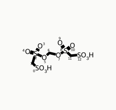 O=S(=O)(O)CS(=O)(=O)OCOS(=O)(=O)CS(=O)(=O)O